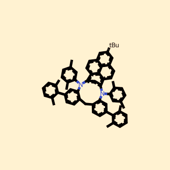 Cc1ccc(C)c(N2c3cc(-c4c(C)cccc4C)ccc3Cc3ccc(-c4c(C)cccc4C)cc3N(c3cc(C)ccc3C)c3cc2c2ccc4cc(C(C)(C)C)cc5ccc3c2c45)c1